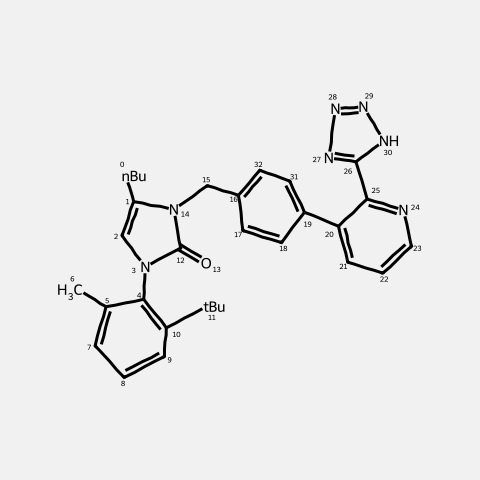 CCCCc1cn(-c2c(C)cccc2C(C)(C)C)c(=O)n1Cc1ccc(-c2cccnc2-c2nnn[nH]2)cc1